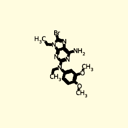 CCN(c1ccc(OC)c(OC)c1)c1nc(N)c2nc(Br)n(CC)c2n1